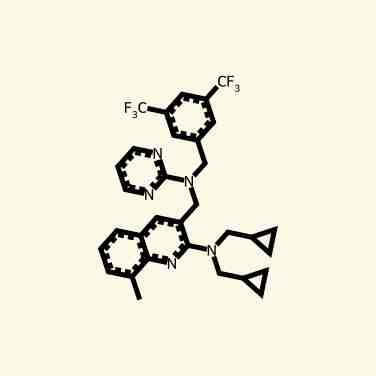 Cc1cccc2cc(CN(Cc3cc(C(F)(F)F)cc(C(F)(F)F)c3)c3ncccn3)c(N(CC3CC3)CC3CC3)nc12